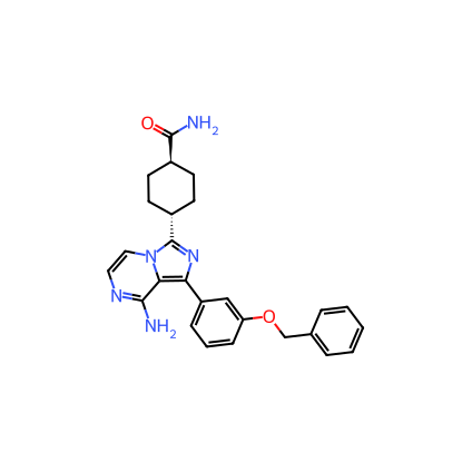 Nc1nccn2c1c(-c1cccc(OCc3ccccc3)c1)nc2[C@H]1CC[C@H](C(N)=O)CC1